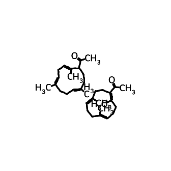 CC(=O)/C1=C(/C)CC/C=C(\C)CC/C=C(\C)CC1.CC(=O)C1CC/C(C)=C/CC/C(C)=C/C/C=C/1C